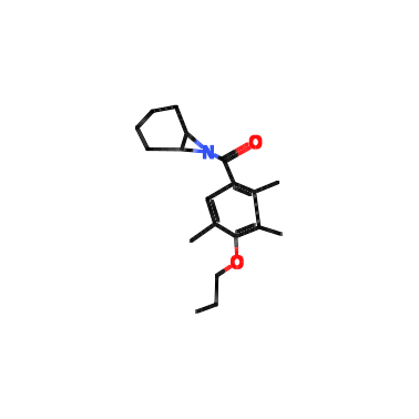 CCCOc1c(C)cc(C(=O)N2C3CCCCC32)c(C)c1C